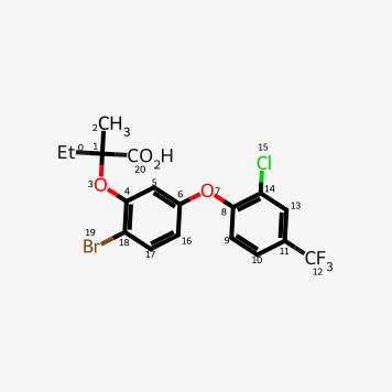 CCC(C)(Oc1cc(Oc2ccc(C(F)(F)F)cc2Cl)ccc1Br)C(=O)O